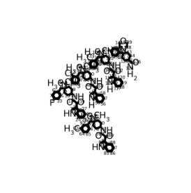 CN(C)C1(Cc2ccc(F)cc2)CCC(NC(=O)C(=O)c2c[nH]c3ccccc23)CC1.CN(C)C1(Cc2ccccc2Cl)CCC(NC(=O)C(=O)c2c[nH]c3ccccc23)CC1.Cc1cccc(CC2(N(C)C)CCC(NC(=O)C(=O)c3c[nH]c4ccccc34)CC2)c1.Cc1ccccc1CC1(N(C)C)CCC(NC(=O)C(=O)c2c[nH]c3ccccc23)CC1.NC(=O)C1CCC(c2ccccc2)(N2CCOCC2)CC1